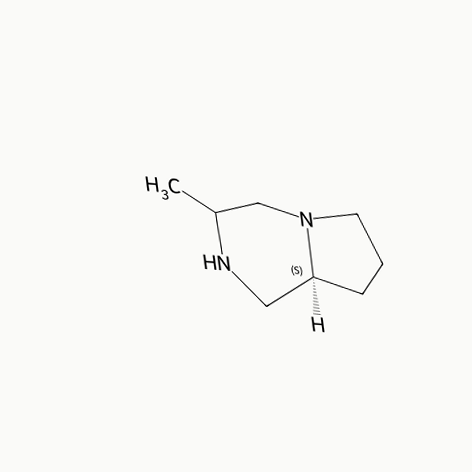 CC1CN2CCC[C@H]2CN1